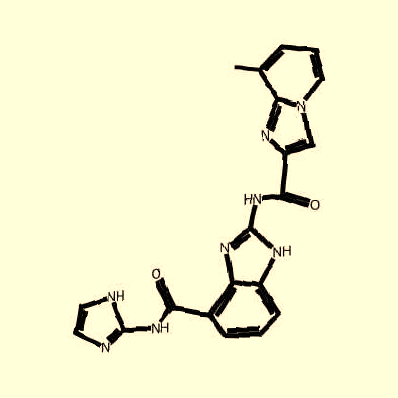 Cc1cccn2cc(C(=O)Nc3nc4c(C(=O)Nc5ncc[nH]5)cccc4[nH]3)nc12